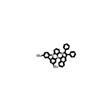 CC(C)(C)c1ccc2c(c1)c1cc(C(C)(C)C)cc3c1n2-c1cccc2c1B3c1c3ccccc3cc3c(-c4ccccc4)c(-c4ccccc4)n-2c13